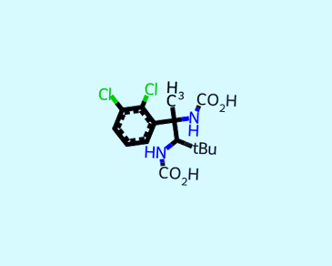 CC(C)(C)C(NC(=O)O)C(C)(NC(=O)O)c1cccc(Cl)c1Cl